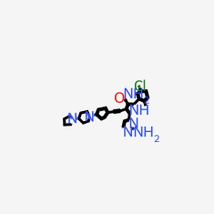 Cc1ccc(Cl)cc1-c1[nH]c(-c2ccnc(N)n2)c(C#Cc2ccc(N3CCC(N4CCCC4)CC3)cc2)c1C(N)=O